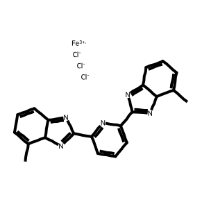 CC1=CC=CC2=NC(c3cccc(C4=NC5C(C)=CC=CC5=N4)n3)=NC12.[Cl-].[Cl-].[Cl-].[Fe+3]